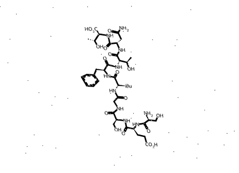 CC[C@H](C)[C@H](NC(=O)CNC(=O)[C@H](CO)NC(=O)[C@H](CCC(=O)O)NC(=O)[C@@H](N)CO)C(=O)N[C@@H](Cc1ccccc1)C(=O)N[C@H](C(=O)N[C@@H](CC(N)=O)C(=O)N[C@H](C(=O)O)[C@@H](C)O)[C@@H](C)O